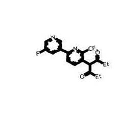 CCC(=O)C(C(=O)CC)c1ccc(-c2cncc(F)c2)nc1C(F)(F)F